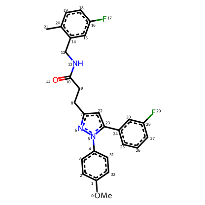 COc1ccc(-n2nc(CCC(=O)NCc3cc(F)ccc3C)cc2-c2cccc(F)c2)cc1